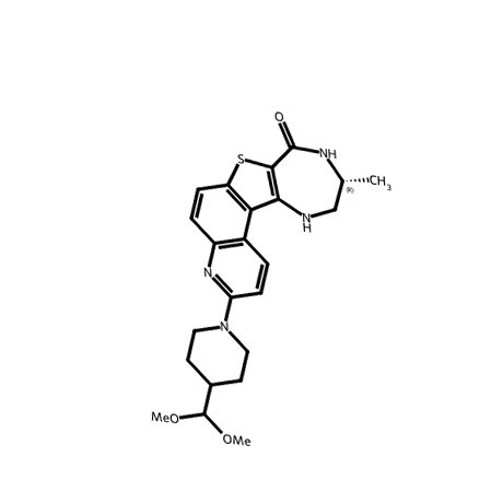 COC(OC)C1CCN(c2ccc3c(ccc4sc5c(c43)NC[C@@H](C)NC5=O)n2)CC1